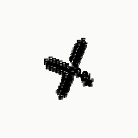 CC(C)(C)C1=NOC(CO[Si](CCC(F)(F)C(F)(F)C(F)(F)C(F)(F)C(F)(F)C(F)(F)F)(CCC(F)(F)C(F)(F)C(F)(F)C(F)(F)C(F)(F)C(F)(F)F)CCC(F)(F)C(F)(F)C(F)(F)C(F)(F)C(F)(F)C(F)(F)F)C1